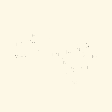 COCC(C)N(C)[C@H]1CC[C@H](CNc2nc(N3CCOC[C@H]3C)cc(-n3c(C(F)F)nc4ccccc43)n2)CC1